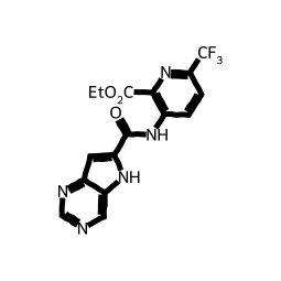 CCOC(=O)c1nc(C(F)(F)F)ccc1NC(=O)c1cc2ncncc2[nH]1